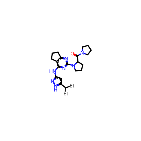 CCC(CC)c1cc(Nc2nc(N3CCCC3C(=O)N3CCCC3)nc3c2CCC3)n[nH]1